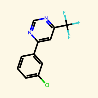 FC(F)(F)c1cc(-c2[c]ccc(Cl)c2)ncn1